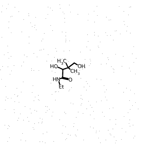 CCNC(=O)C(O)C(C)(C)CO